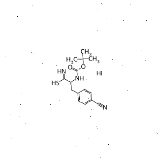 CC(C)(C)OC(=O)NC(Cc1ccc(C#N)cc1)C(=N)S.I